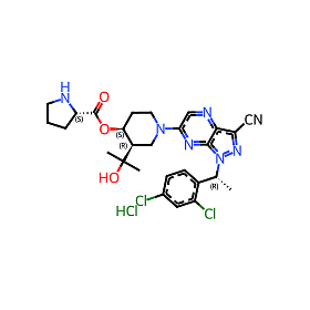 C[C@H](c1ccc(Cl)cc1Cl)n1nc(C#N)c2ncc(N3CC[C@H](OC(=O)[C@@H]4CCCN4)[C@H](C(C)(C)O)C3)nc21.Cl